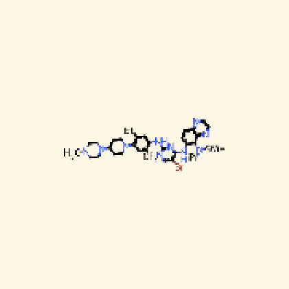 CCc1cc(Nc2ncc(Br)c(Nc3ccc4nccnc4c3N(SC)C(C)C)n2)c(C(F)(F)F)cc1N1CCC(N2CCN(C)CC2)CC1